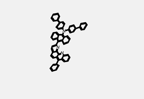 c1ccc(-c2ccc(N(c3ccc(-c4ccccc4)cc3)c3c4ccccc4c(-c4ccc5ccc6c(-c7ccccc7)c7ccccc7nc6c5n4)c4ccccc34)cc2)cc1